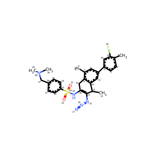 Cc1ccc(-c2cc(C(C)C)c3c(c2)C(C)C(N=[N+]=[N-])=C(NS(=O)(=O)c2ccc(CN(C)C)cc2)C3)cc1F